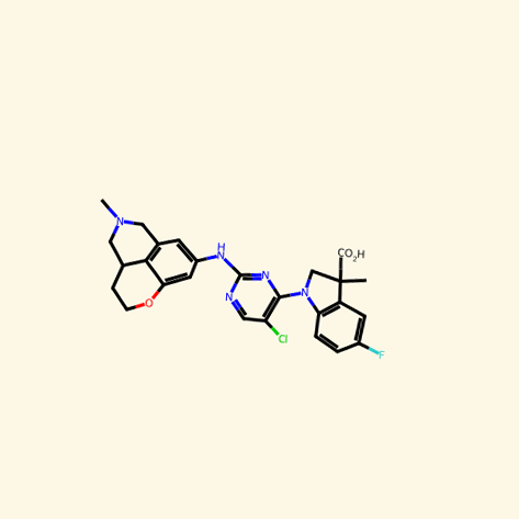 CN1Cc2cc(Nc3ncc(Cl)c(N4CC(C)(C(=O)O)c5cc(F)ccc54)n3)cc3c2C(CCO3)C1